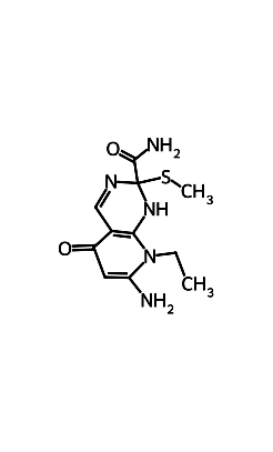 CCn1c(N)cc(=O)c2c1NC(SC)(C(N)=O)N=C2